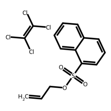 C=CCOS(=O)(=O)c1cccc2ccccc12.ClC(Cl)=C(Cl)Cl